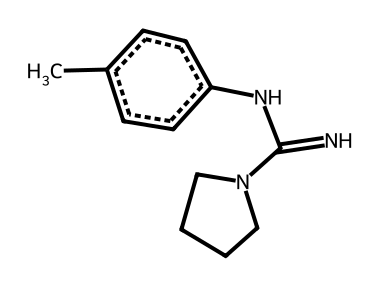 Cc1ccc(NC(=N)N2CCCC2)cc1